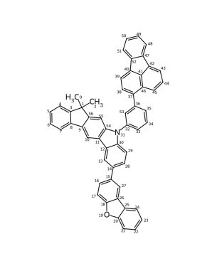 CC1(C)c2ccccc2-c2cc3c4cc(-c5ccc6oc7ccccc7c6c5)ccc4n(-c4cccc(-c5ccc6c7c(cccc57)-c5ccccc5-6)c4)c3cc21